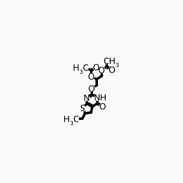 CCC1Cc2c(nc(OCC(COC(C)=O)OC(C)=O)[nH]c2=O)S1